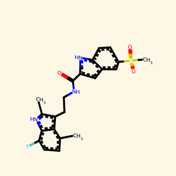 Cc1[nH]c2c(F)ccc(C)c2c1CCNC(=O)c1cc2cc(S(C)(=O)=O)ccc2[nH]1